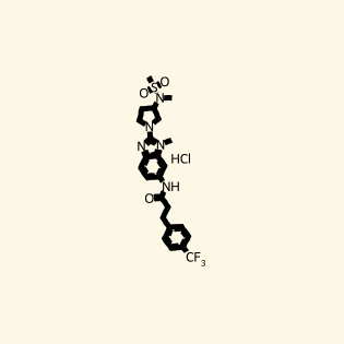 CN(C1CCN(c2nc3ccc(NC(=O)CCc4ccc(C(F)(F)F)cc4)cc3n2C)C1)S(C)(=O)=O.Cl